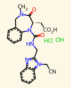 CN1Cc2ccccc2N(C(=O)NCc2nc3ccccc3n2CC#N)[C@@H](CC(=O)O)C1=O.Cl.Cl